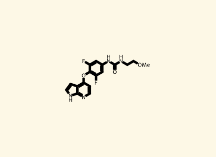 COCCNC(=O)Nc1cc(F)c(Oc2ccnc3[nH]ccc23)c(F)c1